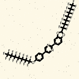 FC(F)(F)C(F)(F)C(F)(F)C(F)(F)C(F)(F)C(F)(F)C(F)(F)Oc1ccc(-c2cnc(-c3ccc4c(c3)OC(C(F)(F)C(F)(F)C(F)(F)C(F)(F)C(F)(F)C(F)(F)C(F)(F)F)O4)nc2)cc1